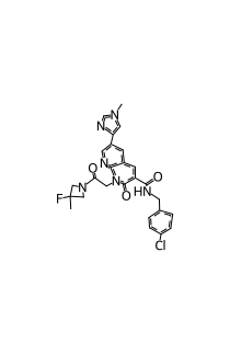 Cn1cnc(-c2cnc3c(c2)cc(C(=O)NCc2ccc(Cl)cc2)c(=O)n3CC(=O)N2CC(C)(F)C2)c1